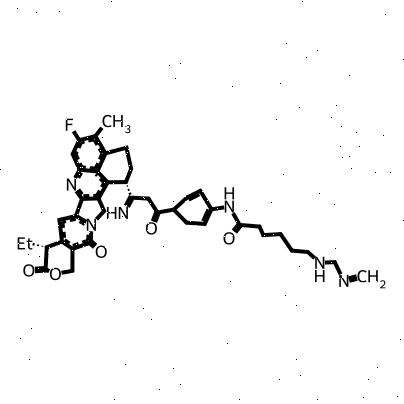 C=NCNCCCCCC(=O)NC1=CCC(C(=O)CC(=N)[C@H]2CCc3c(C)c(F)cc4nc5c(c2c34)Cn2c-5cc3c(c2=O)COC(=O)[C@@H]3CC)C=C1